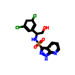 O=S(=O)(NC(CO)C1=CC(Cl)CC(Cl)=C1)c1n[nH]c2ncccc12